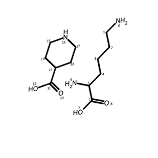 NCCCCC(N)C(=O)O.O=C(O)C1CCNCC1